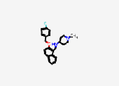 CN1CCC(NCc2c(OCc3ccc(F)cc3)ccc3ccccc23)CC1